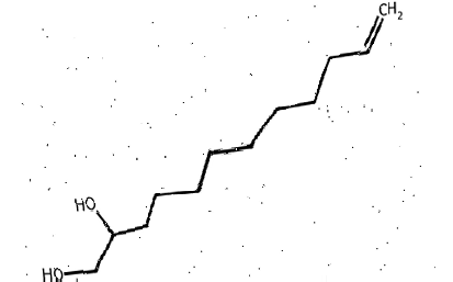 C=CCCCCCCCCC(O)CO